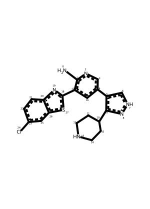 Nc1ncc(-c2c[nH]nc2C2CCNCC2)cc1-c1nc2ccc(Cl)cc2s1